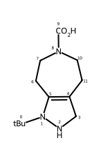 CC(C)(C)N1NCC2=C1CCN(C(=O)O)CC2